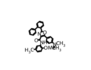 COc1ccc(C)cc1NC(=O)c1nc(-c2ccccc2-c2ccccc2)oc1-c1ccc(N(C)C)cc1